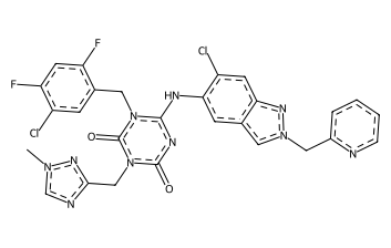 Cn1cnc(Cn2c(=O)nc(Nc3cc4cn(Cc5ccccn5)nc4cc3Cl)n(Cc3cc(Cl)c(F)cc3F)c2=O)n1